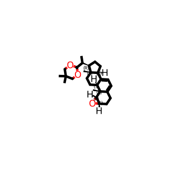 CC(C1OCC(C)(C)CO1)[C@H]1CC[C@H]2C3=CC=C4CC[C@@H]5O[C@@H]5[C@]4(C)[C@H]3CC[C@]12C